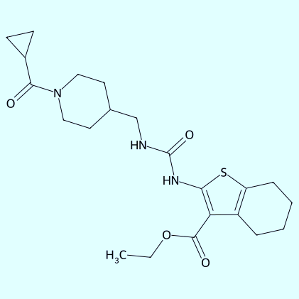 CCOC(=O)c1c(NC(=O)NCC2CCN(C(=O)C3CC3)CC2)sc2c1CCCC2